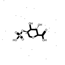 O=C(O)C1OC[C@@H](OS(=O)(=O)O)C(O)[C@@H]1O